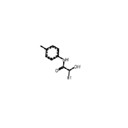 CCC(O)C(=O)Nc1ccc(C)cc1